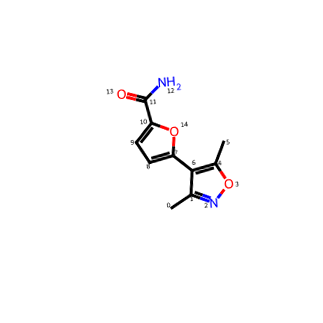 Cc1noc(C)c1-c1ccc(C(N)=O)o1